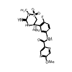 CCCC[C@@]1(c2cc(NC(=O)c3cnc(OC)cn3)ccc2F)CS(=O)(=O)N(C)C(=N)N1